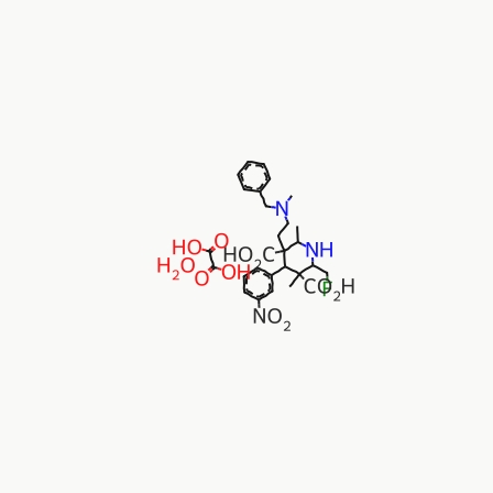 CC1NC(CF)C(C)(C(=O)O)C(c2cccc([N+](=O)[O-])c2)C1(CCN(C)Cc1ccccc1)C(=O)O.O.O=C(O)C(=O)O